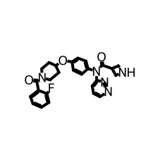 O=C(c1ccccc1F)N1CCC(Oc2ccc(N(C(=O)C3CNC3)c3cccnn3)cc2)CC1